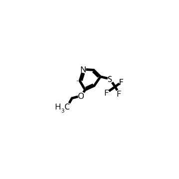 CCOc1[c]ncc(SC(F)(F)F)c1